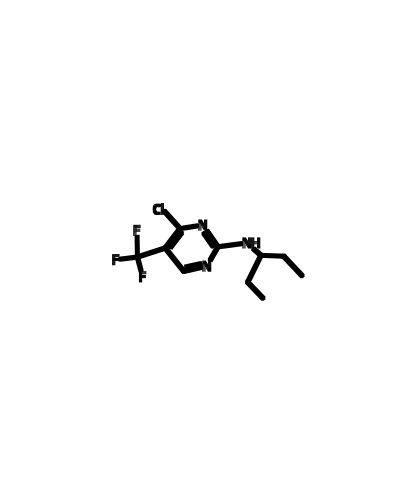 CCC(CC)Nc1ncc(C(F)(F)F)c(Cl)n1